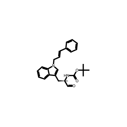 CC(C)(C)OC(=O)N[C@@H](C=O)Cc1cn(CC=Cc2ccccc2)c2ccccc12